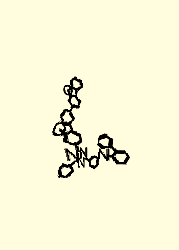 c1ccc(-c2nc(-c3cccc(-n4c5ccccc5c5ccccc54)c3)nc(-c3ccc4c(c3)oc3ccc(-c5ccc6c(c5)oc5ccccc56)cc34)n2)cc1